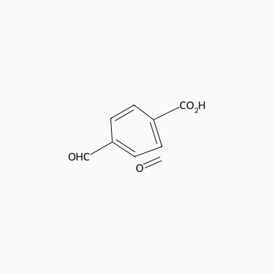 C=O.O=Cc1ccc(C(=O)O)cc1